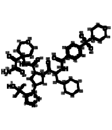 CC(C)(O)c1cnnn1[C@H]1C[C@@H](C(=O)NC2(C(=O)C(N)=O)CCOCC2)N(C(=O)C(CC2CCCCC2)NC(=O)c2ccc(S(=O)(=O)N3CCOCC3)cc2)C1